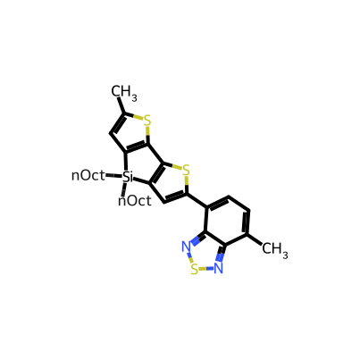 CCCCCCCC[Si]1(CCCCCCCC)c2cc(C)sc2-c2sc(-c3ccc(C)c4nsnc34)cc21